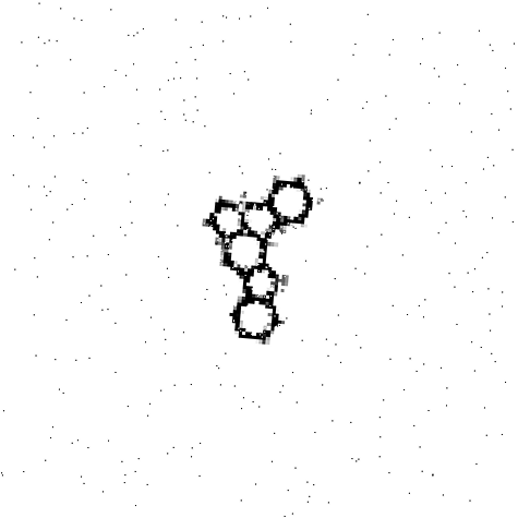 c1ccc2c(c1)[nH]c1c2cc2ccn3c4ccccc4c1c23